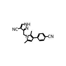 Cc1cc(-c2ccc(C#N)cc2)c(C)n1Cc1n[nH]cc1C#N